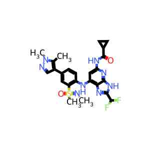 CN=S(C)(=O)c1cc(-c2cnn(C)c2C)ccc1Nc1cc(NC(=O)C2CC2)nc2[nH]c(C(F)F)nc12